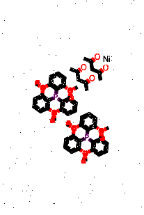 CC(=O)CC(C)=O.CC(=O)CC(C)=O.COc1cccc(OC)c1P(c1c(OC)cccc1OC)c1c(OC)cccc1OC.COc1cccc(OC)c1P(c1c(OC)cccc1OC)c1c(OC)cccc1OC.[Ni]